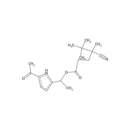 CC(=O)c1ccc(C(C)OC(=O)CCC(C)(C#N)C(C)(C)C)[nH]1